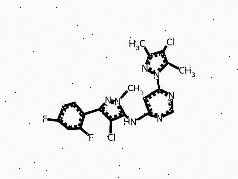 Cc1nn(-c2cc(Nc3c(Cl)c(-c4ccc(F)cc4F)nn3C)ncn2)c(C)c1Cl